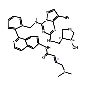 CC(C)c1cnn2c(NCc3ccccc3-c3nccc4cc(NC(=O)/C=C/CN(C)C)ccc34)nc(NC[C@H]3CNC[C@@H]3O)nc12